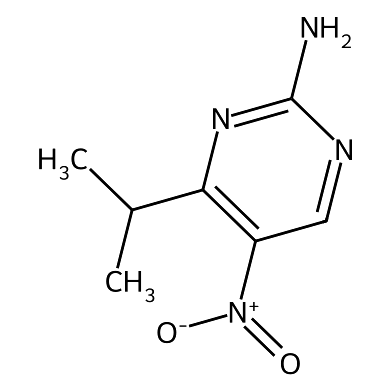 CC(C)c1nc(N)ncc1[N+](=O)[O-]